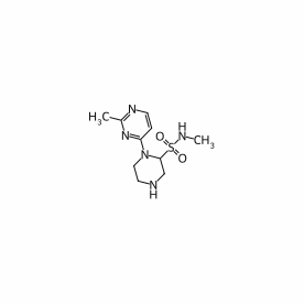 CNS(=O)(=O)C1CNCCN1c1ccnc(C)n1